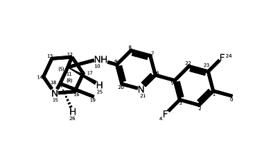 Cc1cc(F)c(-c2ccc(N[C@H]3C4CCN(CC4)[C@@H]3C)cn2)cc1F